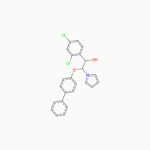 OC(c1ccc(Cl)cc1Cl)C(Oc1ccc(-c2ccccc2)cc1)n1cccc1